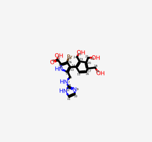 O=C(O)c1[nH]c(CNc2ncc[nH]2)c(-c2ccc(CO)c(CO)c2CO)c1Br